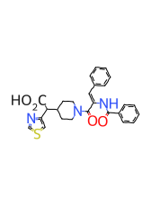 O=C(N/C(=C\c1ccccc1)C(=O)N1CCC(C(C(=O)O)c2cscn2)CC1)c1ccccc1